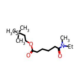 CCN(C)C(=O)CCCCC(=O)OCC[Si](C)(C)C